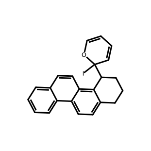 IC1(C2CCCc3ccc4c(ccc5ccccc54)c32)C=CC=CO1